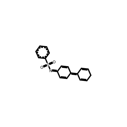 O=S(=O)(N=C1C=CC(=C2C=CCC=C2)C=C1)c1ccccc1